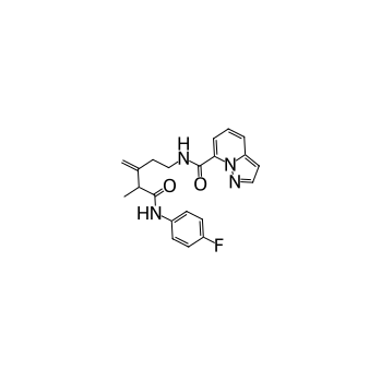 C=C(CCNC(=O)c1cccc2ccnn12)C(C)C(=O)Nc1ccc(F)cc1